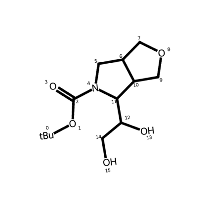 CC(C)(C)OC(=O)N1CC2COCC2C1C(O)CO